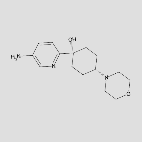 Nc1ccc([C@]2(O)CC[C@@H](N3CCOCC3)CC2)nc1